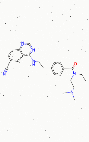 CCN(CCN(C)C)C(=O)c1ccc(CCNc2ncnc3ccc(C#N)cc23)cc1